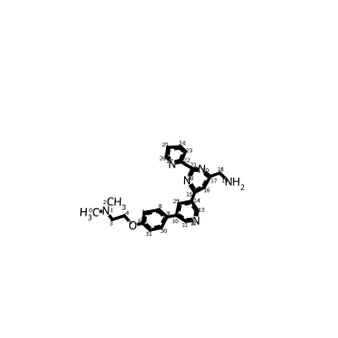 CN(C)CCOc1ccc(-c2cncc(-c3cc(CN)nc(-c4ccccn4)n3)c2)cc1